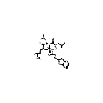 CC(C)C[C@H]1ON(C(=O)CCc2nc3cccnc3s2)[C@H]2CN(CCC(N)=O)C(=O)[C@H](CC(C)C)N2C1=O